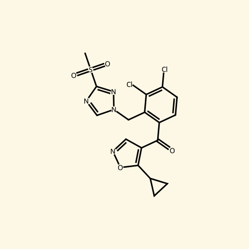 CS(=O)(=O)c1ncn(Cc2c(C(=O)c3cnoc3C3CC3)ccc(Cl)c2Cl)n1